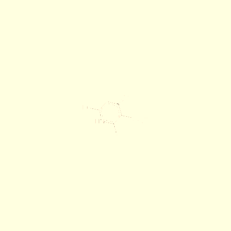 CCc1cc(=O)c(C(=O)O)c(CC)[nH]1